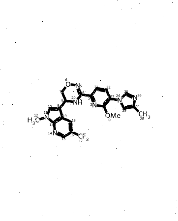 COc1nc(C2=NOCC(c3cn(C)c4ncc(C(F)(F)F)cc34)N2)ccc1-n1cnc(C)c1